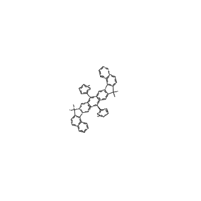 CC1(C)c2cc3c(-c4cccs4)c4cc5c(cc4c(-c4cccs4)c3cc2-c2c1ccc1ccccc21)C(C)(C)c1ccc2ccccc2c1-5